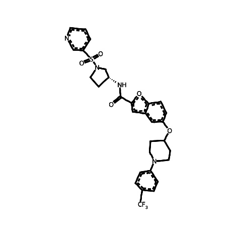 O=C(N[C@@H]1CCN(S(=O)(=O)c2cccnc2)C1)c1cc2cc(OC3CCN(c4ccc(C(F)(F)F)cc4)CC3)ccc2o1